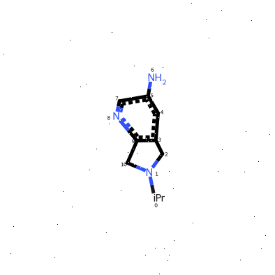 CC(C)N1Cc2cc(N)cnc2C1